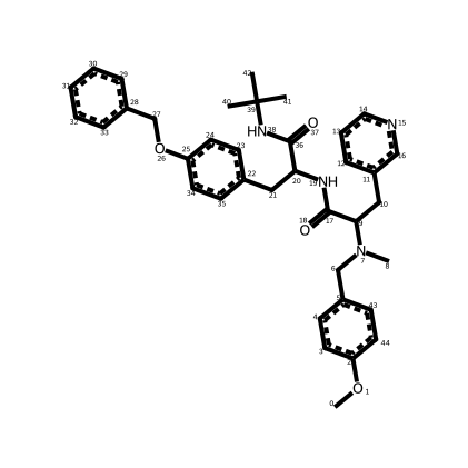 COc1ccc(CN(C)C(Cc2cccnc2)C(=O)NC(Cc2ccc(OCc3ccccc3)cc2)C(=O)NC(C)(C)C)cc1